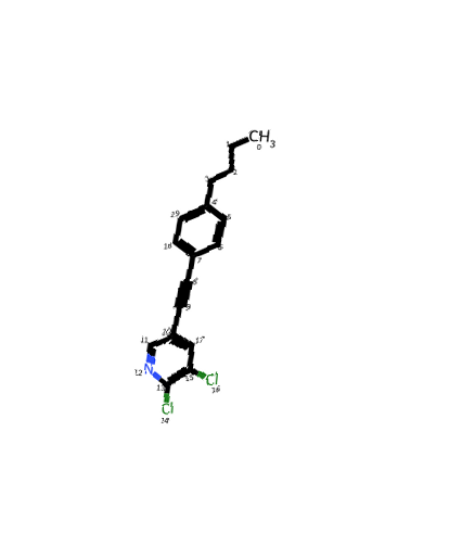 CCCCc1ccc(C#Cc2cnc(Cl)c(Cl)c2)cc1